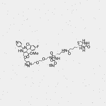 COC(=O)C1=C(COCc2cn(CCOCCOCCNC(=O)[C@H](CCCCNC(=O)CCCC[C@@H]3SC[C@@H]4NC(=O)N[C@@H]43)NC(=O)OC(C)(C)C)nn2)NC(c2ccncc2)=NC1c1ccc(F)cc1Cl